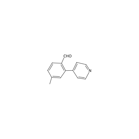 Cc1ccc(C=O)c(-c2ccncc2)c1